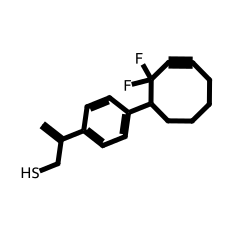 C=C(CS)c1ccc(C2CCCCC#CC2(F)F)cc1